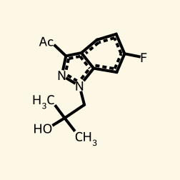 CC(=O)c1nn(CC(C)(C)O)c2cc(F)ccc12